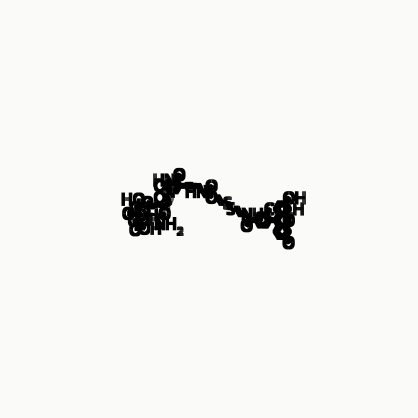 NCO[C@@H]1C[C@H](n2cc(C#CCNC(=O)OCCSSCCNC(=O)c3ccc(-c4c5ccc(=O)cc-5oc5cc(O)ccc45)c(C(=O)O)c3)c(=O)[nH]c2=O)OC1COP(=O)(O)OP(=O)(O)OP(=O)(O)O